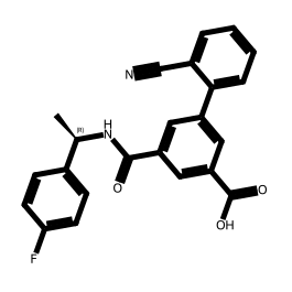 C[C@@H](NC(=O)c1cc(C(=O)O)cc(-c2ccccc2C#N)c1)c1ccc(F)cc1